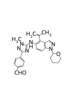 C=C(C)c1c(Nc2nc(-c3ccc(C=O)cc3)nn2C)ccc2c1cnn2C1CCCCO1